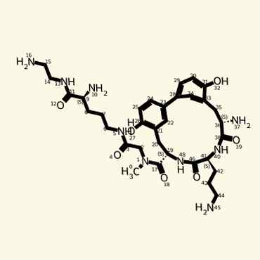 CN(CC(=O)NCCC[C@H](N)C(=O)NCCN)C(=O)[C@@H]1Cc2cc(ccc2O)-c2ccc(O)c(c2)C[C@H](N)C(=O)N[C@@H](CCCN)C(=O)N1